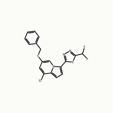 FC(F)c1nnc(-c2ccc3c(Cl)cc(SCc4ccccc4)cn23)s1